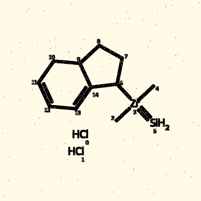 Cl.Cl.[CH3][Zr]([CH3])(=[SiH2])[CH]1CCC2CC=CC=C21